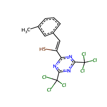 Cc1cccc(C=C(S)c2nc(C(Cl)(Cl)Cl)nc(C(Cl)(Cl)Cl)n2)c1